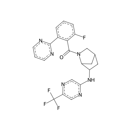 O=C(c1c(F)cccc1-c1ncccn1)N1CC2CC(Nc3cnc(C(F)(F)F)cn3)C1C2